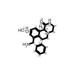 Cl.Cl.NCc1cccc2c1[C@@H](c1ccccc1)CN1CCNC(=O)[C@H]21